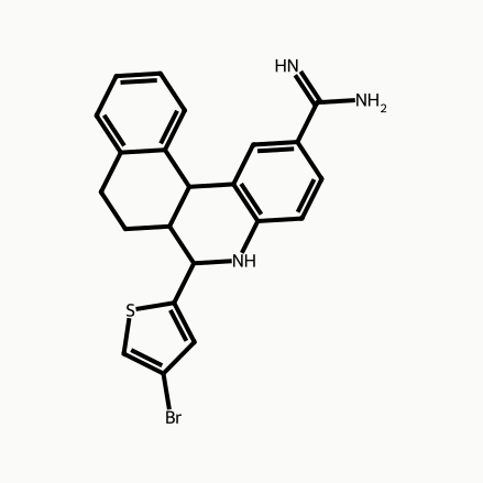 N=C(N)c1ccc2c(c1)C1c3ccccc3CCC1C(c1cc(Br)cs1)N2